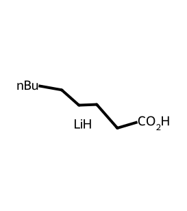 CCCCCCCCC(=O)O.[LiH]